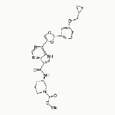 CC(C)(C)OC(=O)N1CCC[C@@H](NC(=O)c2c[nH]c3c(C4=COC(c5cccc(OCC6CC6)c5)O4)ncnc23)C1